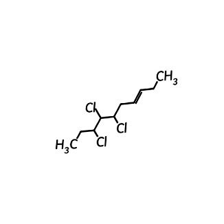 CCC=CCC(Cl)C(Cl)C(Cl)CC